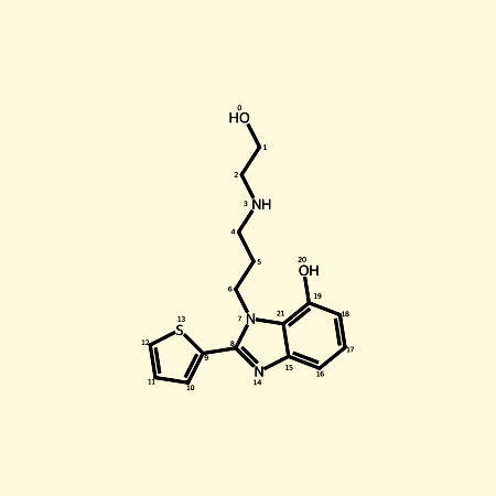 OCCNCCCn1c(-c2cccs2)nc2cccc(O)c21